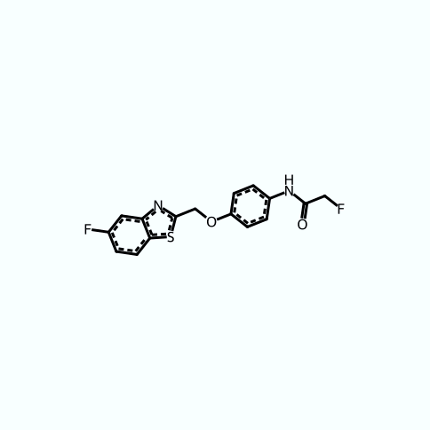 O=C(CF)Nc1ccc(OCc2nc3cc(F)ccc3s2)cc1